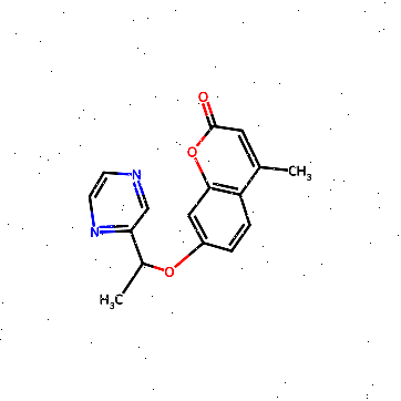 Cc1cc(=O)oc2cc(OC(C)c3cnccn3)ccc12